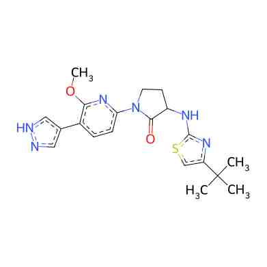 COc1nc(N2CCC(Nc3nc(C(C)(C)C)cs3)C2=O)ccc1-c1cn[nH]c1